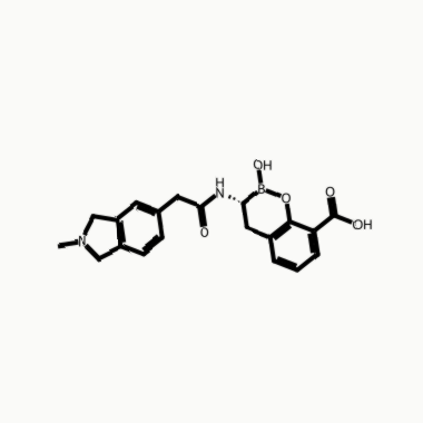 CN1Cc2ccc(CC(=O)N[C@H]3Cc4cccc(C(=O)O)c4OB3O)cc2C1